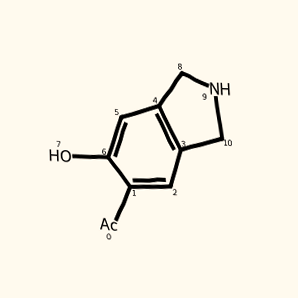 CC(=O)c1cc2c(cc1O)CNC2